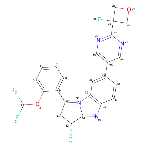 FC(F)Oc1ccccc1C1C[C@@H](F)c2nc3ccc(-c4cnc(C5(F)COC5)nc4)cc3n21